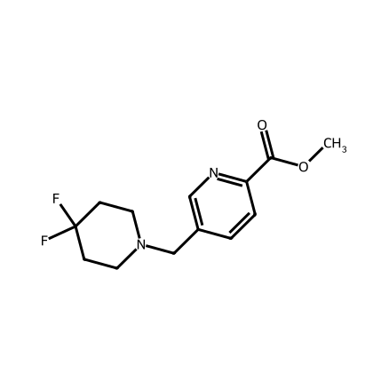 COC(=O)c1ccc(CN2CCC(F)(F)CC2)cn1